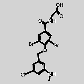 CNc1cc(Cl)cc(COc2c(Br)cc(C(=O)NCC(=O)O)cc2Br)c1